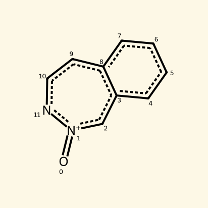 O=[n+]1cc2ccccc2ccn1